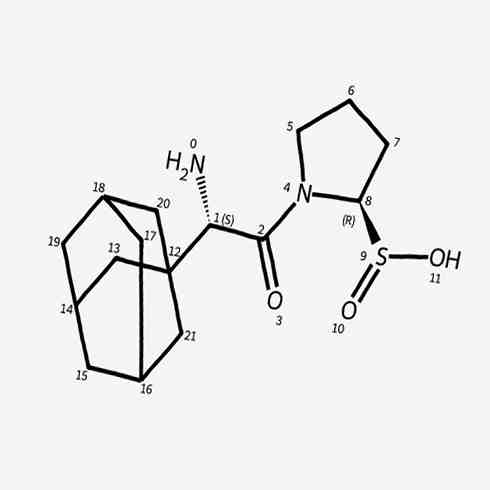 N[C@H](C(=O)N1CCC[C@H]1S(=O)O)C12CC3CC(CC(C3)C1)C2